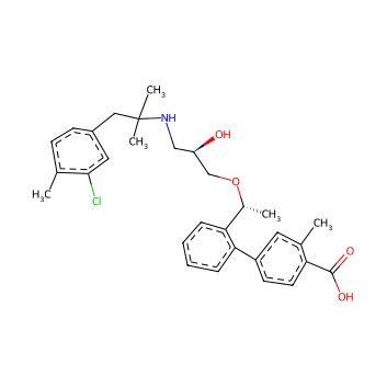 Cc1ccc(CC(C)(C)NC[C@@H](O)CO[C@H](C)c2ccccc2-c2ccc(C(=O)O)c(C)c2)cc1Cl